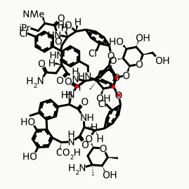 CN[C@H](CC(C)C)C(=O)N[C@H]1C(=O)N[C@@H](CC(N)=O)C(=O)N[C@H]2C(=O)N[C@H]3C(=O)N[C@H](C(=O)N[C@H](C(=O)O)c4cc(O)cc(O)c4-c4cc3ccc4C)[C@H](O[C@H]3C[C@](C)(N)[C@@H](O)[C@H](C)O3)c3ccc(c(Cl)c3)Oc3cc2cc(c3O[C@@H]2O[C@H](CO)[C@@H](O)[C@H](O)[C@H]2O[C@H]2C[C@](C)(NCc3ccc(-c4ccc(Cl)cc4)cc3)[C@H](O)[C@H](C)O2)Oc2ccc(cc2Cl)[C@H]1O